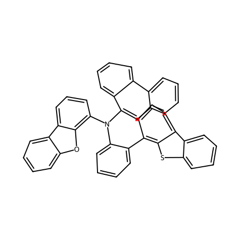 c1ccc(N(c2cc3ccccc3c3ccccc23)c2cccc3c2oc2ccccc23)c(-c2cccc3c2sc2ccccc23)c1